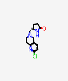 O=C1CC[C@@H](CN2CCc3nc(Cl)ccc3C2)N1